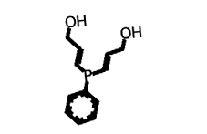 OCC=CP(C=CCO)c1ccccc1